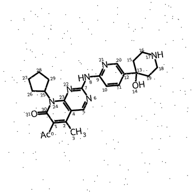 CC(=O)c1c(C)c2cnc(Nc3ccc(C4(O)CCNCC4)cn3)nc2n(C2CCCC2)c1=O